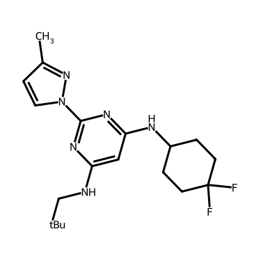 Cc1ccn(-c2nc(NCC(C)(C)C)cc(NC3CCC(F)(F)CC3)n2)n1